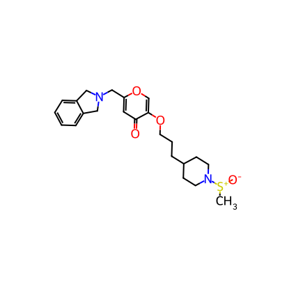 C[S+]([O-])N1CCC(CCCOc2coc(CN3Cc4ccccc4C3)cc2=O)CC1